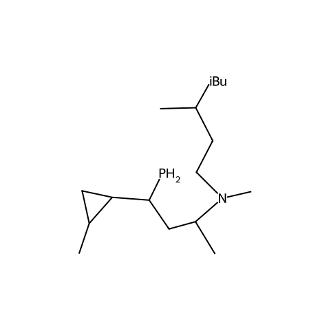 CCC(C)C(C)CCN(C)C(C)CC(P)C1CC1C